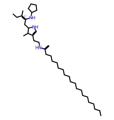 C=C(CCCCCCCCCCCCCCCCCCC)NCCC1=CNC(C/C(NC2CCCC2)=C(/C)CC)C1C